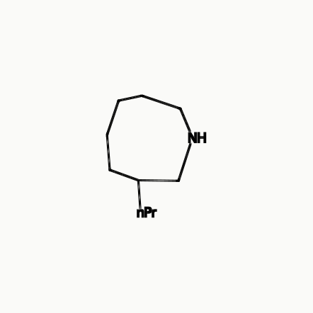 CCCC1CCCCCNC1